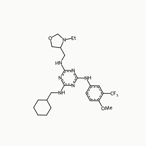 CCN1COCC1CNc1nc(NCC2CCCCC2)nc(Nc2ccc(OC)c(C(F)(F)F)c2)n1